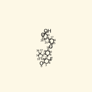 COc1ccc(F)c(-c2ccc(COc3cccc([C@H](CC(=O)O)C4(C)CC4)c3)cc2[C@@H]2CCCC2(C)C)c1